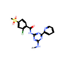 CC(C)Nc1nc(NC(=O)c2ccc(S(C)(=O)=O)cc2Cl)nc(-c2ccccn2)n1